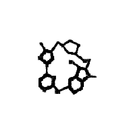 Cc1nn(-c2ccnc(Nc3ccc4c(c3)c(Br)c(C)n4C)n2)cc1CN1CCC(O)C1